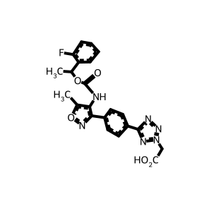 Cc1onc(-c2ccc(-c3nnn(CC(=O)O)n3)cc2)c1NC(=O)OC(C)c1ccccc1F